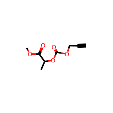 C#CCOC(=O)OC(C)C(=O)OC